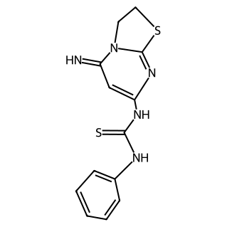 N=c1cc(NC(=S)Nc2ccccc2)nc2n1CCS2